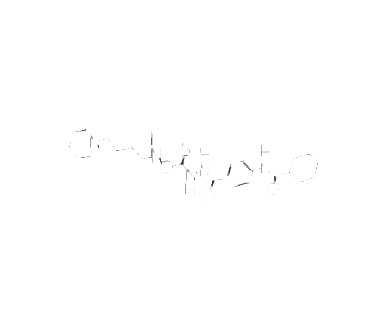 O=C(NNC(=S)ONCCCCN1CCCCC1)c1ccc(NC(=O)C2CCCCC2)cc1